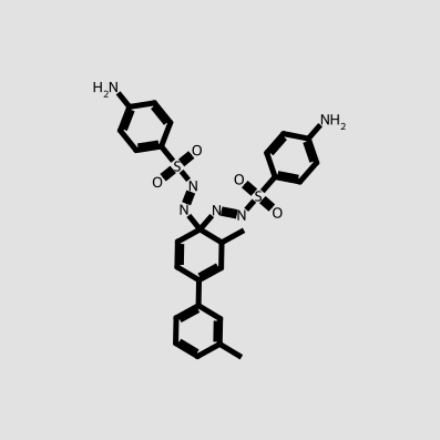 Cc1cccc(C2=CC(C)C(N=NS(=O)(=O)c3ccc(N)cc3)(N=NS(=O)(=O)c3ccc(N)cc3)C=C2)c1